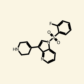 O=S(=O)(c1ccccc1F)n1cc(C2=CCNCC2)c2ncccc21